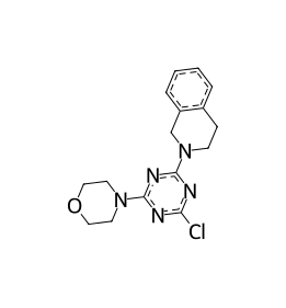 Clc1nc(N2CCOCC2)nc(N2CCc3ccccc3C2)n1